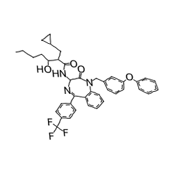 CCCCC(O)C(CC1CC1)C(=O)NC1N=C(c2ccc(C(F)(F)F)cc2)c2ccccc2N(Cc2cccc(Oc3ccccc3)c2)C1=O